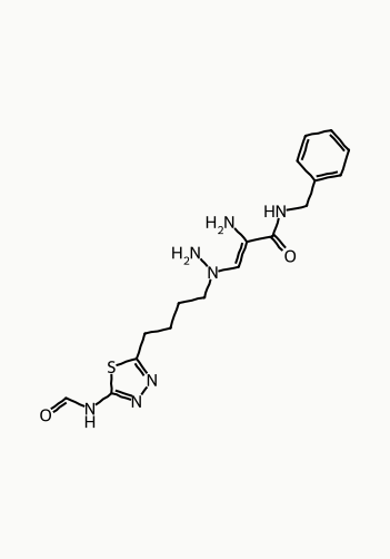 N/C(=C\N(N)CCCCc1nnc(NC=O)s1)C(=O)NCc1ccccc1